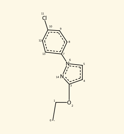 [CH2]COc1ccn(-c2ccc(Cl)cc2)n1